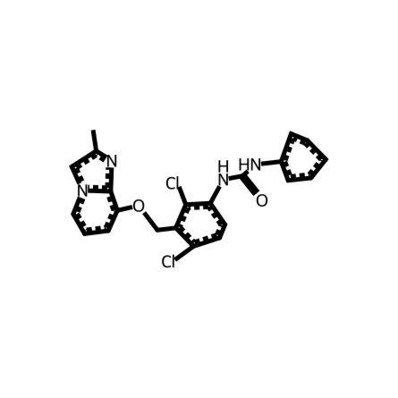 Cc1cn2cccc(OCc3c(Cl)ccc(NC(=O)Nc4ccccc4)c3Cl)c2n1